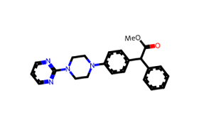 COC(=O)C(c1ccccc1)c1ccc(N2CCN(c3ncccn3)CC2)cc1